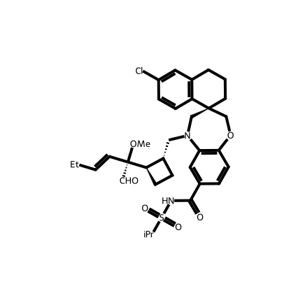 CC/C=C/[C@@](C=O)(OC)[C@@H]1CC[C@H]1CN1C[C@@]2(CCCc3cc(Cl)ccc32)COc2ccc(C(=O)NS(=O)(=O)C(C)C)cc21